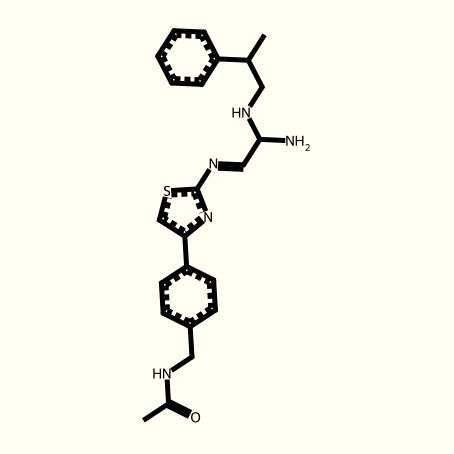 CC(=O)NCc1ccc(-c2csc(N=CC(N)NCC(C)c3ccccc3)n2)cc1